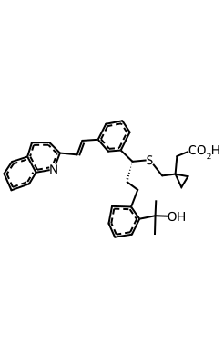 CC(C)(O)c1ccccc1CC[C@@H](SCC1(CC(=O)O)CC1)c1cccc(/C=C/c2ccc3ccccc3n2)c1